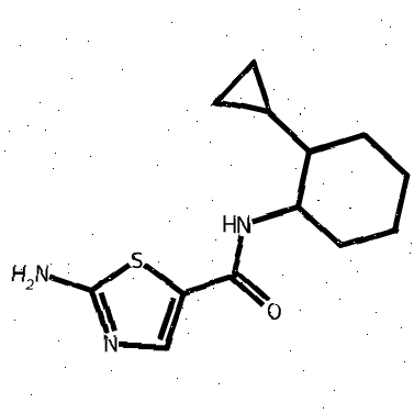 Nc1ncc(C(=O)NC2CCCCC2C2CC2)s1